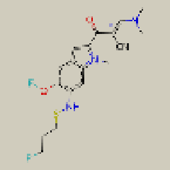 CN(C)/C=C(\C#N)C(=O)c1cc2cc(OF)c(NSCCCF)cc2n1C